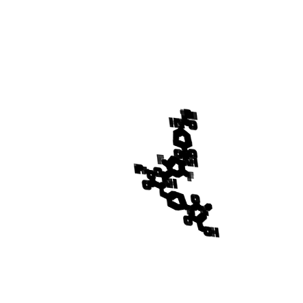 CC(C)OC(=O)[C@H](Cc1ccc(-n2c(=O)c(CO)cn(C)c2=O)cc1)NC(=O)c1cc(F)c(NS(=O)(=O)c2ccc(NC(=O)C(C)(C)C)cc2)cc1F